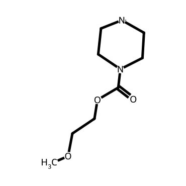 COCCOC(=O)N1CC[N]CC1